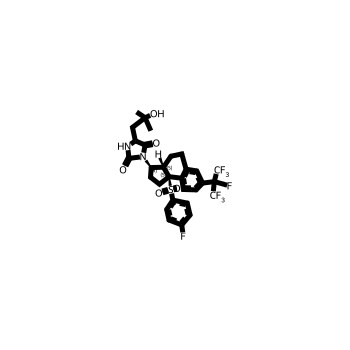 CC(C)(O)CC1NC(=O)N([C@@H]2CC[C@@]3(S(=O)(=O)c4ccc(F)cc4)c4ccc(C(F)(C(F)(F)F)C(F)(F)F)cc4CC[C@@H]23)C1=O